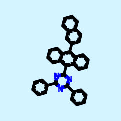 c1ccc(-c2nc(-c3ccccc3)nc(-c3c4ccccc4c(-c4ccc5ccccc5c4)c4ccccc34)n2)cc1